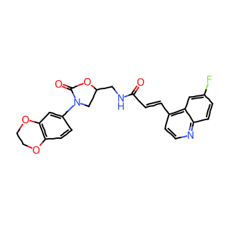 O=C(C=Cc1ccnc2ccc(F)cc12)NCC1CN(c2ccc3c(c2)OCCO3)C(=O)O1